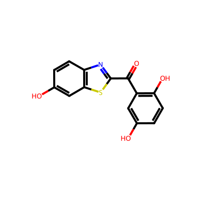 O=C(c1nc2ccc(O)cc2s1)c1cc(O)ccc1O